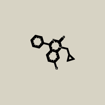 O=c1nc(-c2ccccc2)c2ccc(Cl)cc2n1CC1CC1